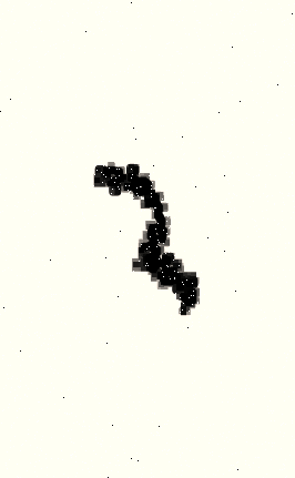 O=C1CCC(N2Cc3cc(N4CC(CCCc5ccc(-c6cnc7[nH]cc(C(=O)c8c(F)ccc(NS(=O)(=O)N9CC[C@@H](F)C9)c8F)c7c6)cc5)C4)ccc3C2=O)C(=O)N1